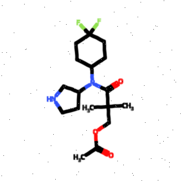 CC(=O)OCC(C)(C)C(=O)N(C1CCC(F)(F)CC1)C1CCNC1